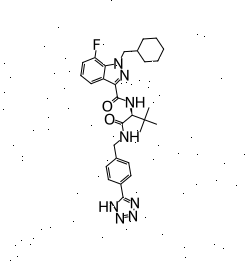 CC(C)(C)[C@H](NC(=O)c1nn(CC2CCCCC2)c2c(F)cccc12)C(=O)NCc1ccc(-c2nnn[nH]2)cc1